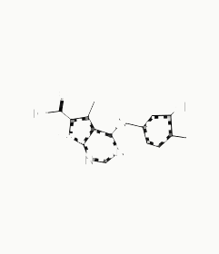 Cc1c(C(=O)O)[se]c2ncnc(Nc3ccc(F)c(Cl)c3)c12